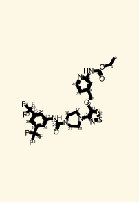 CCOC(=O)Nc1cc(COc2nsnc2N2CCN(C(=O)Nc3cc(C(F)(F)F)cc(C(F)(F)F)c3)CC2)ccn1